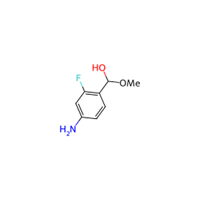 COC(O)c1ccc(N)cc1F